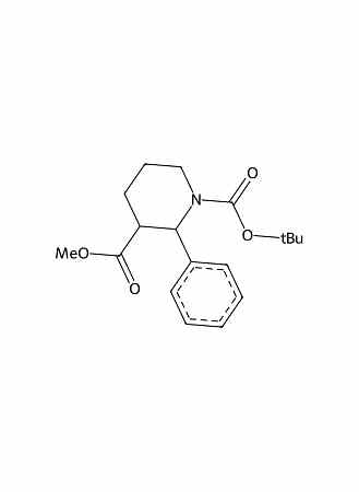 COC(=O)C1CCCN(C(=O)OC(C)(C)C)C1c1ccccc1